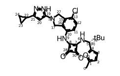 Cc1ccc([C@H](Nc2c(Nc3ccc(Cl)c4c3CN(c3cc(C5CC5)n[nH]3)C4)c(=O)c2=O)C(C)(C)C)o1